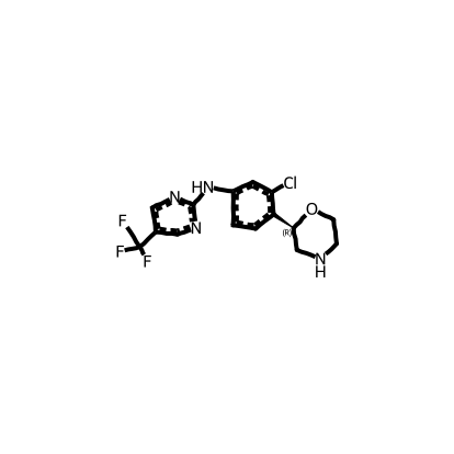 FC(F)(F)c1cnc(Nc2ccc([C@@H]3CNCCO3)c(Cl)c2)nc1